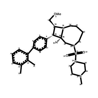 COC[C@@H]1[C@@H](c2ccc(-c3cccc(C)c3C)cc2)[C@@H]2CN(S(=O)(=O)N3CCN(C)CC3)CCCCN12